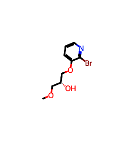 COC[C@@H](O)COc1cccnc1Br